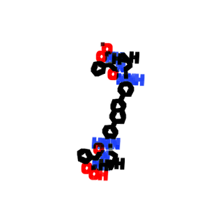 COC(=O)N[C@H](C(=O)N1[C@@H]2C[C@@H]2C[C@H]1c1nc2cc(-c3ccc4cc(-c5ccc6[nH]c([C@@H]7C[C@H]8C[C@H]8N7C(=O)[C@H](NC(=O)O)c7ccccc7)nc6c5)ccc4c3)ccc2[nH]1)c1ccccc1